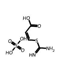 N=C(N)S/C=C\C(=O)O.O=S(=O)(O)O